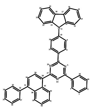 c1ccc(-c2nc(-c3ccc(-n4c5ccccc5c5ccccc54)cc3)nc(-c3ccc(-c4ccccc4)c4ccccc34)n2)cc1